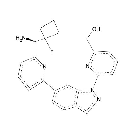 N[C@H](c1cccc(-c2ccc3cnn(-c4cccc(CO)n4)c3c2)n1)C1(F)CCC1